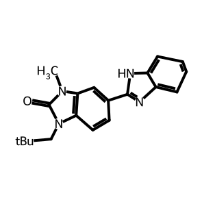 Cn1c(=O)n(CC(C)(C)C)c2ccc(-c3nc4ccccc4[nH]3)cc21